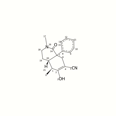 C[C@@H]1C(O)=C(C#N)CC2(c3ccccc3)C(=O)N(C)CC[C@@H]12